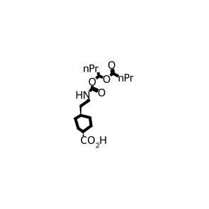 CCCC(=O)OC(CCC)OC(=O)NCC[C@H]1CC[C@H](C(=O)O)CC1